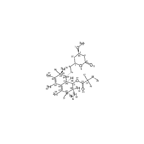 [2H]O[C@H]1CC(=O)OC(CC[C@@H]2[C@@H]3C(=C([2H])[C@]([2H])(C)C([2H])([2H])C3OC(=O)C(C)(C)CC)C([2H])=C([2H])[C@]2([2H])C)C1